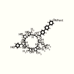 CCCCCOc1ccc(-c2ccc(-c3ccc(C(=O)N[C@H]4C[C@@H](O)C(NCC[N+](C)(C)C)NC(=O)C5[C@@H](O)[C@@H](C)CN5C(=O)C([C@@H](C)O)NC(=O)C([C@H](O)[C@@H](O)c5ccc(O)cc5)NC(=O)C5C[C@@H](O)CN5C(=O)C([C@@H](C)O)NC4=O)cc3)cc2)cc1